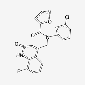 O=C(c1ccno1)N(Cc1cc(=O)[nH]c2c(F)cccc12)c1cccc(Cl)c1